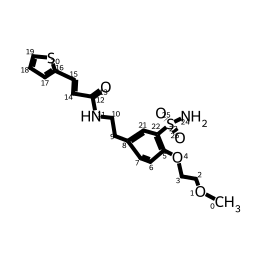 COCCOc1ccc(CCNC(=O)/C=C/c2cccs2)cc1S(N)(=O)=O